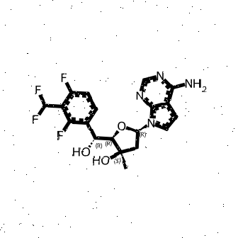 C[C@]1(O)C[C@H](n2ccc3c(N)ncnc32)O[C@@H]1[C@H](O)c1ccc(F)c(C(F)F)c1F